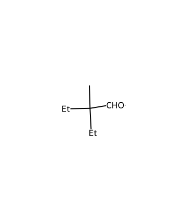 CCC(C)([C]=O)CC